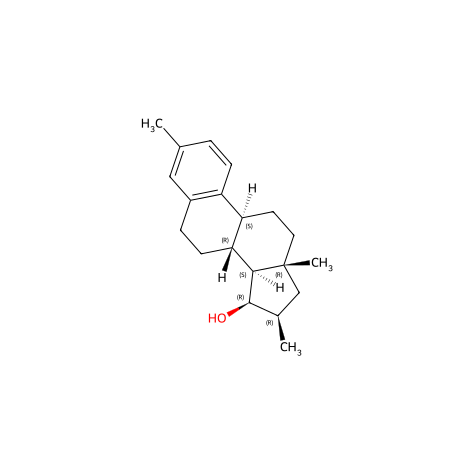 Cc1ccc2c(c1)CC[C@H]1[C@@H]3[C@H](O)[C@H](C)C[C@@]3(C)CC[C@H]21